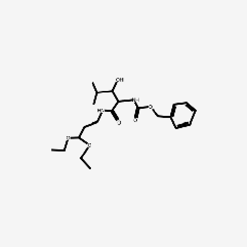 CCOC(CCNC(=O)C(NC(=O)OCc1ccccc1)C(O)C(C)C)OCC